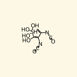 O=C=NC1=C[SH](O)(O)(O)C(O)=C1N=C=O